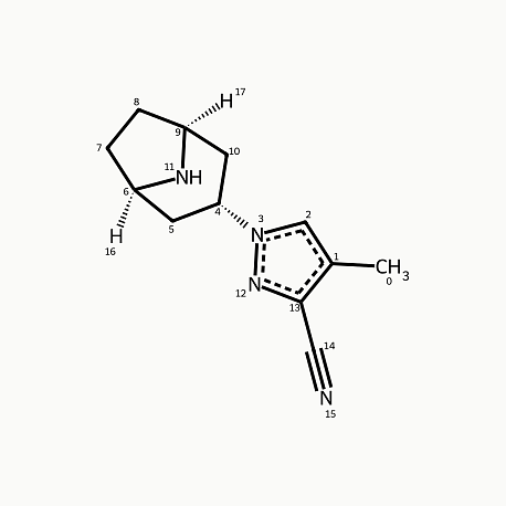 Cc1cn([C@@H]2C[C@H]3CC[C@@H](C2)N3)nc1C#N